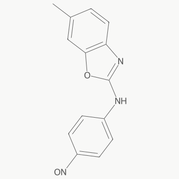 Cc1ccc2nc(Nc3ccc(N=O)cc3)oc2c1